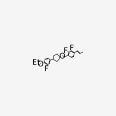 C/C=C/c1ccc(COC2CCC(c3ccc(OCC)c(F)c3)CC2)c(F)c1F